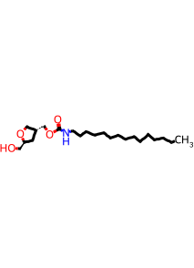 CCCCCCCCCCCCCCCNC(=O)OC[C@H]1CO[C@H](CO)C1